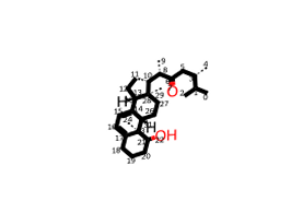 CC(C)[C@@H](C)CC(=O)[C@@H](C)[C@H]1CC[C@H]2C3=CC=C4CCCC(O)[C@]4(C)[C@H]3CC[C@]12C